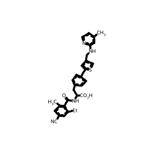 CCc1cc(C#N)cc(C)c1C(=O)NC(Cc1ccc(-c2cc(CNc3cc(C)ccn3)cs2)cc1)C(=O)O